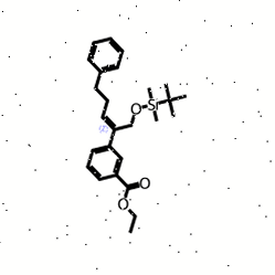 CCOC(=O)c1cccc(/C(=C/CCc2ccccc2)CO[Si](C)(C)C(C)(C)C)c1